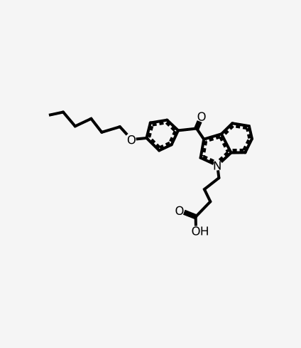 CCCCCCOc1ccc(C(=O)c2cn(CCCC(=O)O)c3ccccc23)cc1